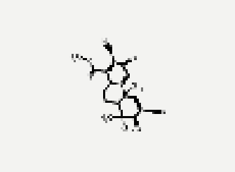 COC(=O)C1=C(C#N)C(=O)C=C2C1CCC1C(C)(C)C(=O)C(C#N)=CC21C